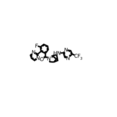 O=C(c1cccc(F)c1-c1ncccn1)[N+]1=C2CC(CC2Nc2cnc(C(F)(F)F)cn2)C1